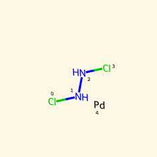 ClNNCl.[Pd]